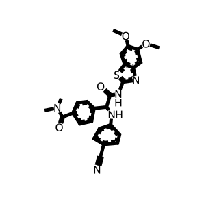 COc1cc2nc(NC(=O)C(Nc3ccc(C#N)cc3)c3ccc(C(=O)N(C)C)cc3)sc2cc1OC